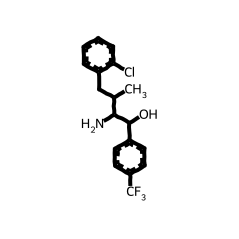 CC(Cc1ccccc1Cl)C(N)C(O)c1ccc(C(F)(F)F)cc1